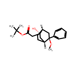 CO[C@]1(c2ccccc2)C[C@H]2CC[C@@H]1C[C@@]2(O)CC(=O)OC(C)(C)C